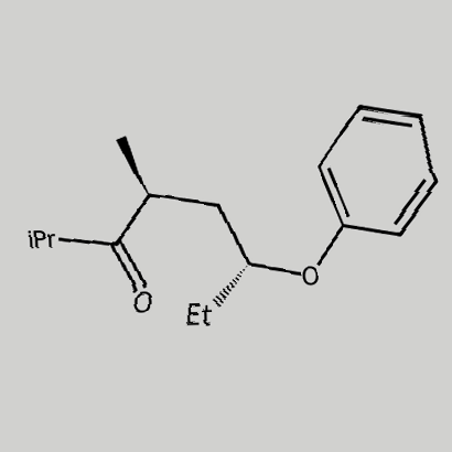 CC[C@H](C[C@H](C)C(=O)C(C)C)Oc1ccccc1